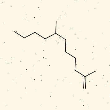 C=C(C)CCCCC(C)CCCC